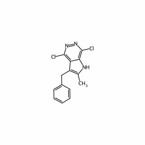 Cc1[nH]c2c(Cl)nnc(Cl)c2c1Cc1ccccc1